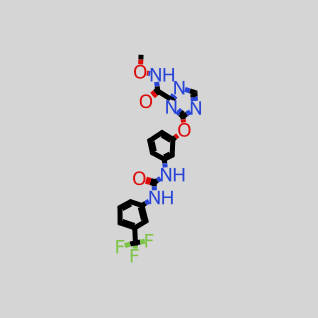 CONC(=O)c1ncnc(Oc2cccc(NC(=O)Nc3cccc(C(F)(F)F)c3)c2)n1